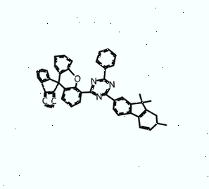 CC1C=CC2=C(C1)C(C)(C)c1cc(-c3nc(-c4ccccc4)nc(-c4cccc5c4Oc4ccccc4C54c5ccccc5-c5ccccc54)n3)ccc12